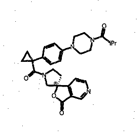 CC(C)C(=O)N1CCN(c2ccc(C3(C(=O)N4CC[C@@]5(C4)OC(=O)c4cnccc45)CC3)cc2)CC1